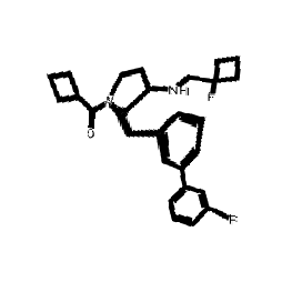 O=C(C1CCC1)N1CCC(NCC2(F)CCC2)C1Cc1cccc(-c2cccc(F)c2)c1